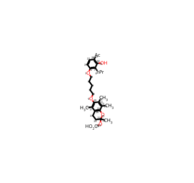 CCCc1c(OCCCCCOc2c(C)c(C)c3c(c2C)CCC(C)(OC(=O)O)O3)ccc(C(C)=O)c1O